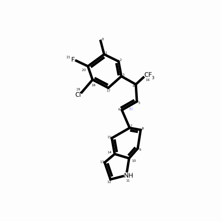 Cc1cc(C(/C=C/c2ccc3[nH]ccc3c2)C(F)(F)F)cc(Cl)c1F